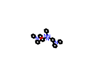 c1ccc(-c2nc(-c3ccc(-c4ccccc4N(c4ccccc4)c4ccccc4)cc3)nc(-c3ccc4c(c3)c3ccccc3n4-c3ccccc3)n2)cc1